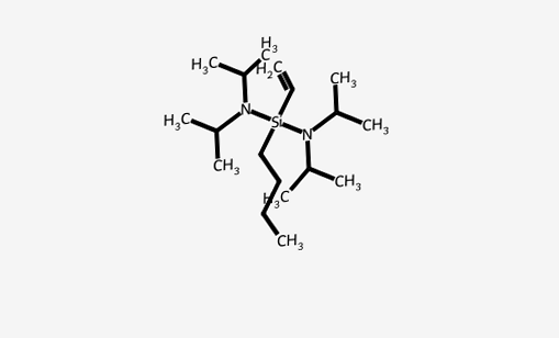 C=C[Si](CCCC)(N(C(C)C)C(C)C)N(C(C)C)C(C)C